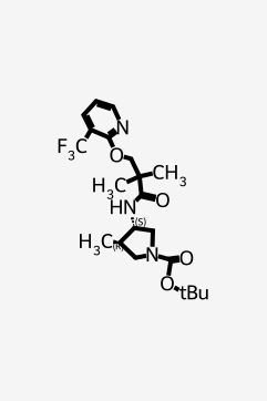 C[C@@H]1CN(C(=O)OC(C)(C)C)C[C@H]1NC(=O)C(C)(C)COc1ncccc1C(F)(F)F